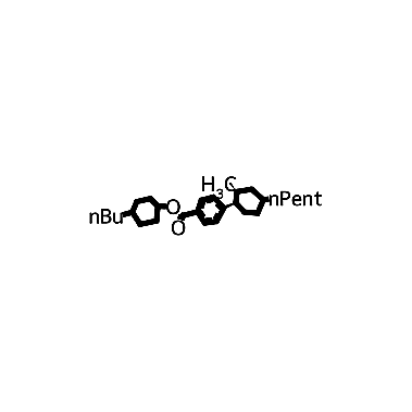 CCCCCC1CC[C@@H](c2ccc(C(=O)OC3CCC(CCCC)CC3)cc2)[C@H](C)C1